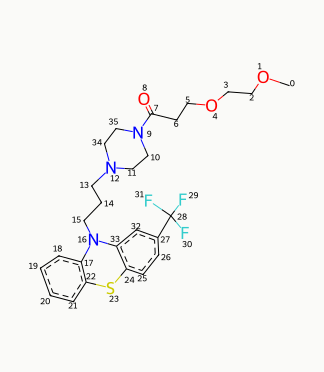 COCCOCCC(=O)N1CCN(CCCN2c3ccccc3Sc3ccc(C(F)(F)F)cc32)CC1